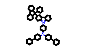 c1ccc(-c2ccc(N(c3ccc(-c4ccccc4)cc3)c3ccc(-n4c5ccccc5c5cc(C6(c7ccccc7)c7ccccc7-c7ccccc76)ccc54)cc3)cc2)cc1